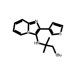 CC(C)(C)CC(C)(C)Nc1c(-c2ccsc2)nc2ccccn12